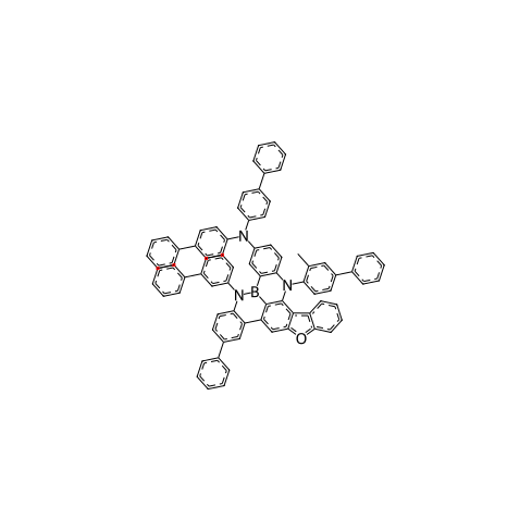 Cc1cc(-c2ccccc2)ccc1N1c2ccc(N(c3ccc(-c4ccccc4)cc3)c3ccc(-c4ccccc4)cc3)cc2B2c3c(cc4oc5ccccc5c4c31)-c1cc(-c3ccccc3)ccc1N2c1cccc(-c2ccccc2)c1